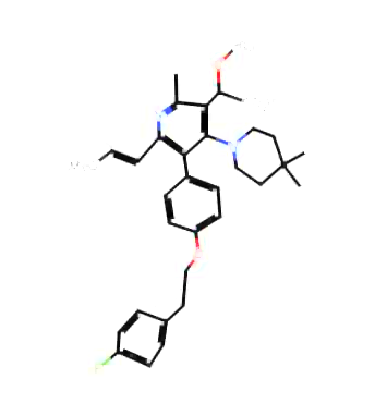 COC=Cc1nc(C)c(C(OC(C)(C)C)C(=O)O)c(N2CCC(C)(C)CC2)c1-c1ccc(OCCc2ccc(F)cc2)cc1